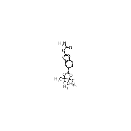 CC1(C)OB(c2ccc3sc(OC(N)=O)nc3c2)OC1(C)C